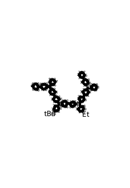 CCc1ccc(N(c2ccc(-c3ccc(N(c4ccccc4)c4ccc(-c5ccccc5)cc4)cc3)cc2)c2ccc(-c3ccc(N(c4ccc(-c5ccc(N(c6ccccc6)c6ccc(-c7ccccc7)cc6)cc5)cc4)c4ccc(C(C)(C)C)cc4)cc3)cc2)cc1